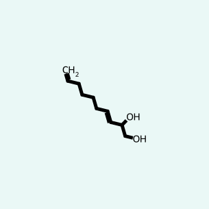 C=CCCCC/C=C/C(O)CO